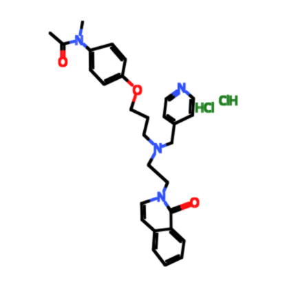 CC(=O)N(C)c1ccc(OCCCN(CCn2ccc3ccccc3c2=O)Cc2ccncc2)cc1.Cl.Cl